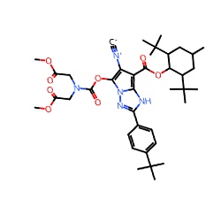 [C-]#[N+]c1c(C(=O)OC2C(C(C)(C)C)CC(C)CC2C(C)(C)C)c2[nH]c(-c3ccc(C(C)(C)C)cc3)nn2c1OC(=O)N(CC(=O)OC)CC(=O)OC